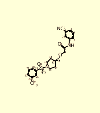 N#Cc1cccc(NC(=O)CON=C2CCN(S(=O)(=O)c3cccc(C(F)(F)F)c3)CC2)c1